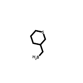 BCC1CCCSC1